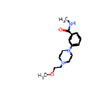 CNC(=O)c1cccc(N2CCN(CCOC)CC2)c1